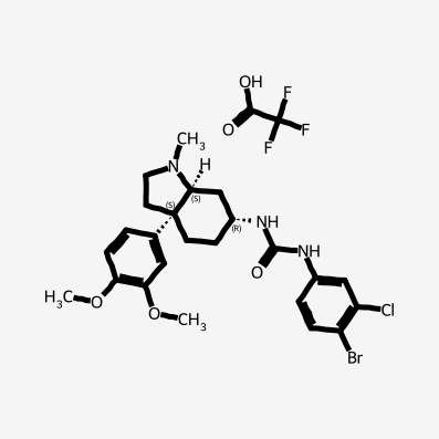 COc1ccc([C@@]23CC[C@@H](NC(=O)Nc4ccc(Br)c(Cl)c4)C[C@@H]2N(C)CC3)cc1OC.O=C(O)C(F)(F)F